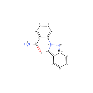 NC(=O)c1ccccc1-n1cc2ccccc2n1